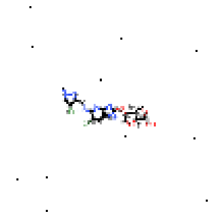 Cn1cc(Cl)c(CNc2nc3nc(O[C@@H]4CO[C@H]5[C@@H]4CO[C@H]5O)[nH]c3cc2Cl)n1